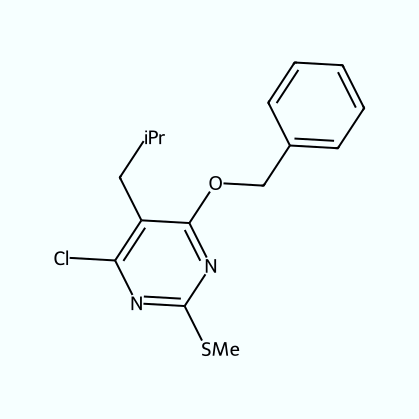 CSc1nc(Cl)c(CC(C)C)c(OCc2ccccc2)n1